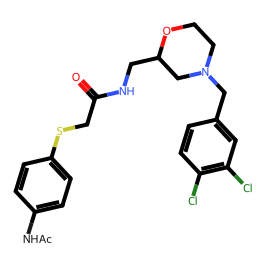 CC(=O)Nc1ccc(SCC(=O)NCC2CN(Cc3ccc(Cl)c(Cl)c3)CCO2)cc1